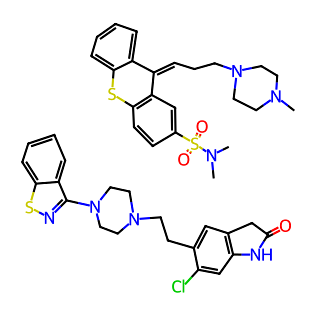 CN1CCN(CC/C=C2/c3ccccc3Sc3ccc(S(=O)(=O)N(C)C)cc32)CC1.O=C1Cc2cc(CCN3CCN(c4nsc5ccccc45)CC3)c(Cl)cc2N1